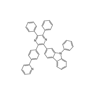 c1ccc(-c2nc(-c3ccc(-c4ccccn4)cc3)c(-c3ccc4c5ccccc5n(-c5ccccc5)c4c3)nc2-c2ccccc2)cc1